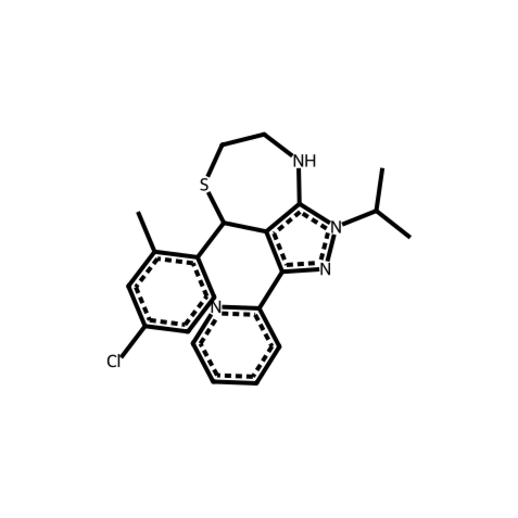 Cc1cc(Cl)ccc1C1SCCNc2c1c(-c1ccccn1)nn2C(C)C